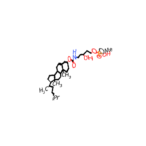 COP(=O)(O)OCCC(O)CCNC(=O)O[C@H]1CCC2(C)C(=CCC3C2CCC2(C)C3CC[C@@H]2[C@@H](C)CCCC(C)C)C1